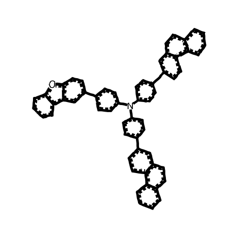 c1ccc2c(c1)ccc1cc(-c3ccc(N(c4ccc(-c5ccc6c(ccc7ccccc76)c5)cc4)c4ccc(-c5ccc6oc7ccccc7c6c5)cc4)cc3)ccc12